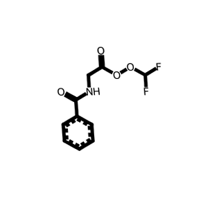 O=C(CNC(=O)c1ccccc1)OOC(F)F